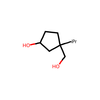 CC(C)C1(CO)CCC(O)C1